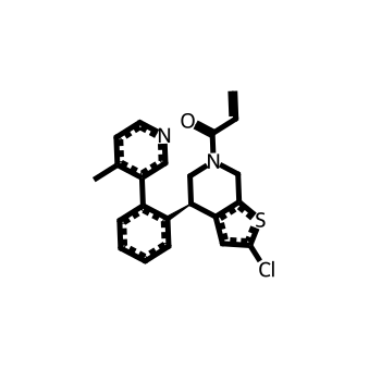 C=CC(=O)N1Cc2sc(Cl)cc2[C@@H](c2ccccc2-c2cnccc2C)C1